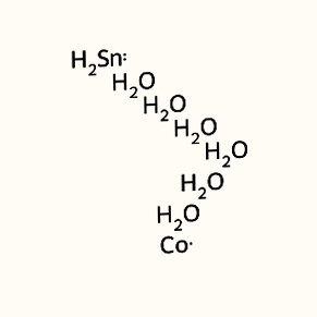 O.O.O.O.O.O.[Co].[SnH2]